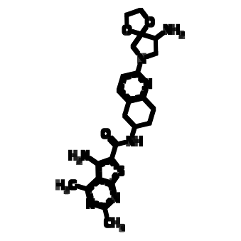 Cc1nc(C)c2c(N)c(C(=O)NC3CCc4nc(N5CC(N)C6(C5)OCCO6)ccc4C3)sc2n1